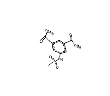 COC(=O)c1cc(NS(C)(=O)=O)cc(C(=O)OC)c1